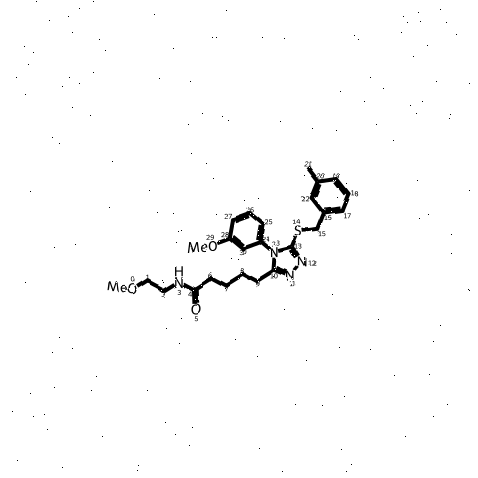 COCCNC(=O)CCCCc1nnc(SCc2cccc(C)c2)n1-c1cccc(OC)c1